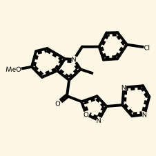 COc1ccc2c(c1)c(C(=O)c1cc(-c3cnccn3)no1)c(C)n2Cc1ccc(Cl)cc1